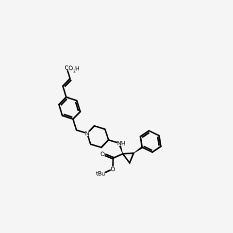 CC(C)(C)OC(=O)[C@@]1(NC2CCN(Cc3ccc(C=CC(=O)O)cc3)CC2)C[C@@H]1c1ccccc1